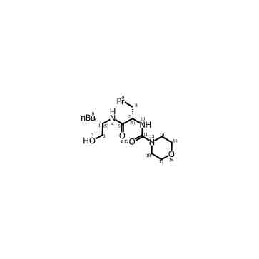 CCCC[C@@H](CO)NC(=O)[C@H](CC(C)C)NC(=O)N1CCOCC1